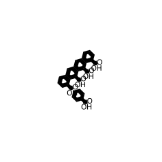 O=C(O)c1ccccc1.O=C(O)c1ccccc1.O=C(O)c1ccccc1.O=C(O)c1ccccc1.O=C(O)c1ccccc1